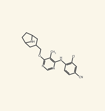 Cc1c(Nc2ccc(C#N)cc2Cl)ncnc1OCC1CC2CCC(C1)N2